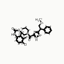 COCC(c1ccccc1)c1n[nH]c(C(=O)N2CCC[C@@]3(C2)OC(=O)Nc2ccc(Cl)c(F)c23)n1